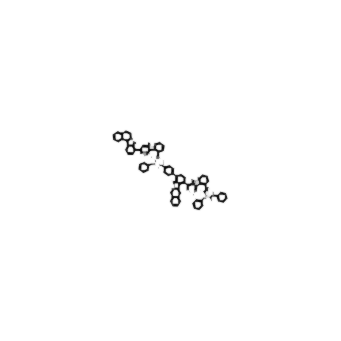 c1ccc(-c2nc(-c3ccc(-c4ccc(-c5cncc6c5oc5cccc(-c7nc(-c8ccccc8)nc(-c8ccccc8)n7)c56)c5c4oc4cc6ccccc6cc45)cc3)nc(-c3cccc4oc5cc(-c6cccc7c6sc6ccc8ccccc8c67)ncc5c34)n2)cc1